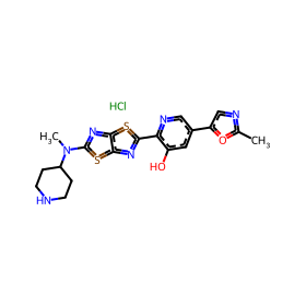 Cc1ncc(-c2cnc(-c3nc4sc(N(C)C5CCNCC5)nc4s3)c(O)c2)o1.Cl